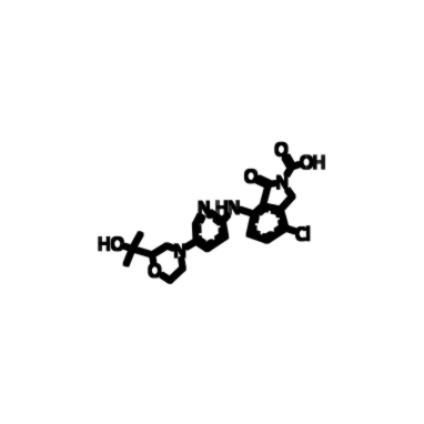 CC(C)(O)C1CN(c2ccc(Nc3ccc(Cl)c4c3C(=O)N(C(=O)O)C4)nc2)CCO1